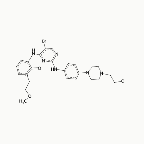 COCCn1cccc(Nc2nc(Nc3ccc(N4CCN(CCO)CC4)cc3)ncc2Br)c1=O